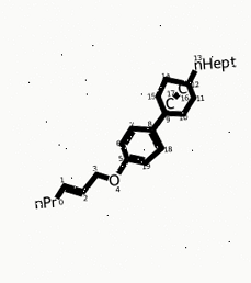 CCC/C=C/COc1ccc(C23CCC(CCCCCCC)(CC2)CC3)cc1